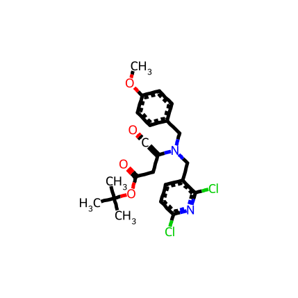 COc1ccc(CN(Cc2ccc(Cl)nc2Cl)C(=C=O)CC(=O)OC(C)(C)C)cc1